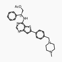 CC(=O)OC[C@@H](Nc1ncnc2cc(-c3ccc(CN4CCN(C)CC4)cc3)sc12)c1ccccc1